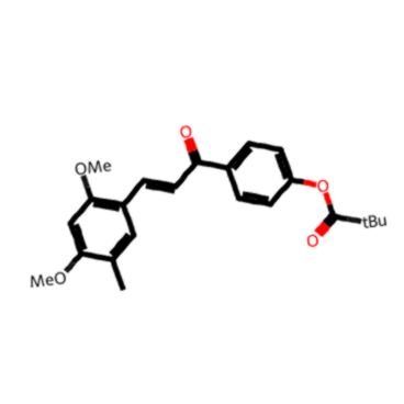 COc1cc(OC)c(C=CC(=O)c2ccc(OC(=O)C(C)(C)C)cc2)cc1C